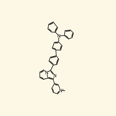 C[n+]1cccc(-c2nc(-c3ccc(-c4ccc(N(c5ccccc5)c5ccccc5)cc4)cc3)n3ccccc23)c1